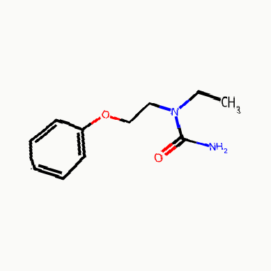 CCN(CCOc1cc[c]cc1)C(N)=O